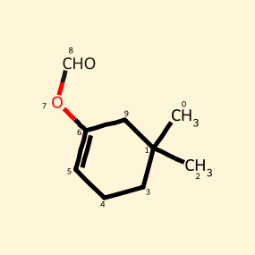 CC1(C)CCC=C(OC=O)C1